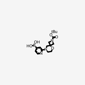 CC(C)(C)OC(=O)N1CC2(C1)CN(c1cc(B(O)O)ccn1)CCO2